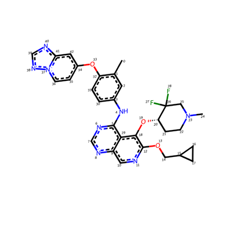 Cc1cc(Nc2ncnc3cnc(OCC4CC4)c(O[C@H]4CCN(C)CC4(F)F)c23)ccc1Oc1ccn2ncnc2c1